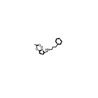 CC(=O)Oc1ccc(CNCCCc2ccccc2)[nH]1